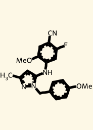 COc1ccc(Cn2nc(C)cc2Nc2cc(F)c(C#N)cc2OC)cc1